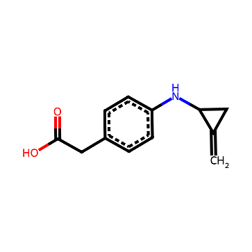 C=C1CC1Nc1ccc(CC(=O)O)cc1